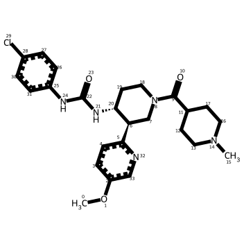 COc1ccc([C@@H]2CN(C(=O)C3CCN(C)CC3)CC[C@H]2NC(=O)Nc2ccc(Cl)cc2)nc1